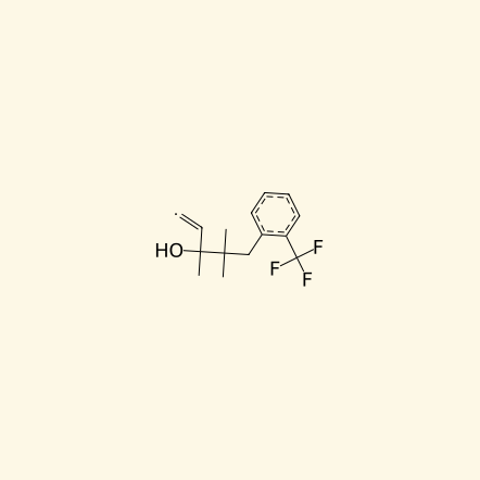 [CH]=CC(C)(O)C(C)(C)Cc1ccccc1C(F)(F)F